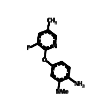 CNc1cc(Oc2ncc(C)cc2F)ccc1N